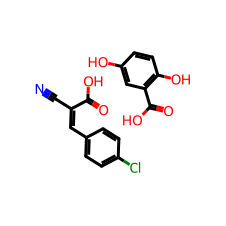 N#CC(=Cc1ccc(Cl)cc1)C(=O)O.O=C(O)c1cc(O)ccc1O